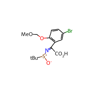 COCOc1ccc(Br)cc1C(=N[S+]([O-])C(C)(C)C)C(=O)O